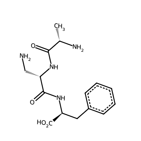 C[C@H](N)C(=O)N[C@@H](CN)C(=O)N[C@@H](Cc1ccccc1)C(=O)O